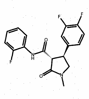 CN1C[C@H](c2ccc(F)c(F)c2)[C@@H](C(=O)Nc2ccccc2F)C1=O